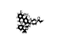 C=CC(=O)N1CCN(c2nc(=O)n(-c3ccccc3C3(C)CC3)c3c4c(c(C)cc23)-c2c(ccc(F)c2P)CO4)[C@@H](C)C1